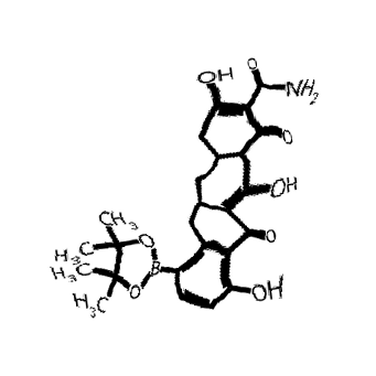 CC1(C)OB(c2ccc(O)c3c2CC2CC4CC(O)=C(C(N)=O)C(=O)C4C(O)=C2C3=O)OC1(C)C